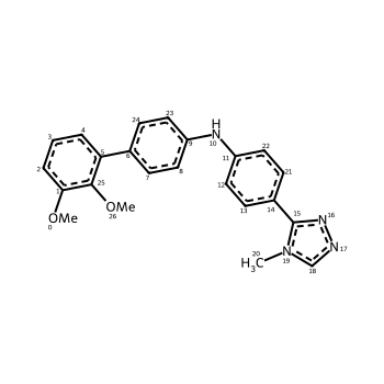 COc1cccc(-c2ccc(Nc3ccc(-c4nncn4C)cc3)cc2)c1OC